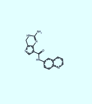 NC1=Nc2c(C(=O)Nc3ccc4ncccc4c3)csc2CN1